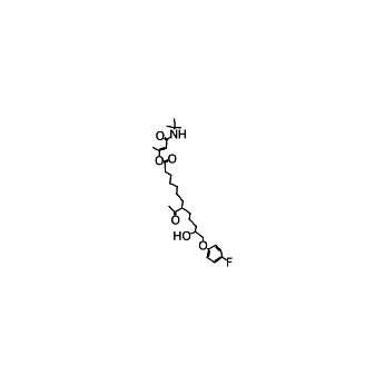 CC(=O)C(CCCCCCC(=O)OC(C)=CC(=O)NC(C)(C)C)CCCC(O)COc1ccc(F)cc1